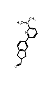 CN(C)c1cccc(-c2ccc3c(c2)CC(C=O)C3)n1